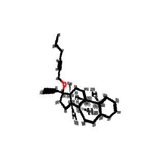 C#C[C@]1(OCC#CCCC)CC[C@H]2[C@@H]3CCC4CC=CC[C@@H]4[C@H]3CC[C@@]21C